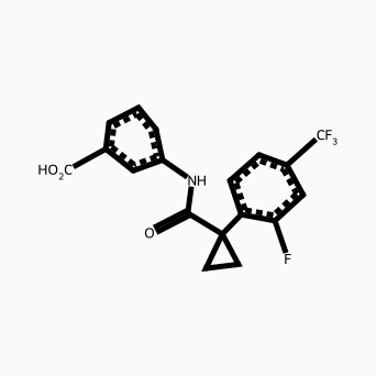 O=C(O)c1cccc(NC(=O)C2(c3ccc(C(F)(F)F)cc3F)CC2)c1